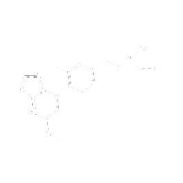 CC(C)C[C@](C)(N)COc1ccc(-c2cc(N)nc3ccnn23)c(F)c1